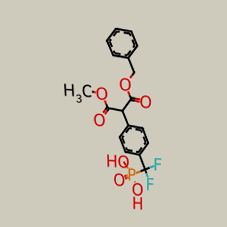 COC(=O)C(C(=O)OCc1ccccc1)c1ccc(C(F)(F)P(=O)(O)O)cc1